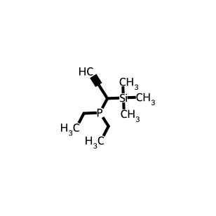 C#CC(P(CC)CC)[Si](C)(C)C